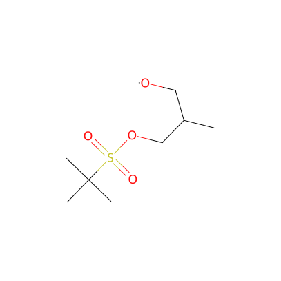 CC(C[O])COS(=O)(=O)C(C)(C)C